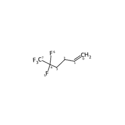 C=CCCC(F)(F)C(F)(F)F